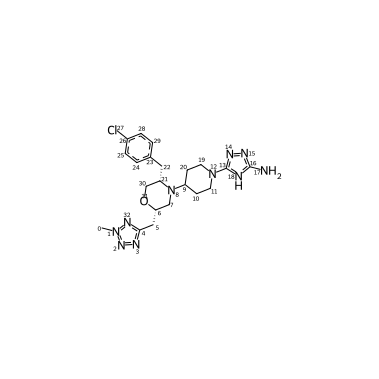 Cn1nnc(C[C@H]2CN(C3CCN(c4nnc(N)[nH]4)CC3)[C@@H](Cc3ccc(Cl)cc3)CO2)n1